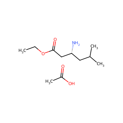 CC(=O)O.CCOC(=O)C[C@H](N)CC(C)C